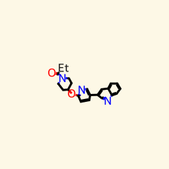 CCC(=O)N1CCC(Oc2ccc(-c3cnc4ccccc4c3)cn2)CC1